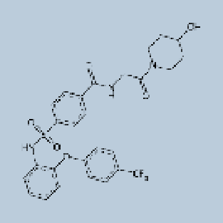 O=C(NCC(=O)N1CCC(O)CC1)c1ccc(S(=O)(=O)Nc2ccccc2Oc2ccc(C(F)(F)F)cc2)cc1